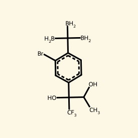 BC(B)(B)c1ccc(C(O)(C(C)O)C(F)(F)F)cc1Br